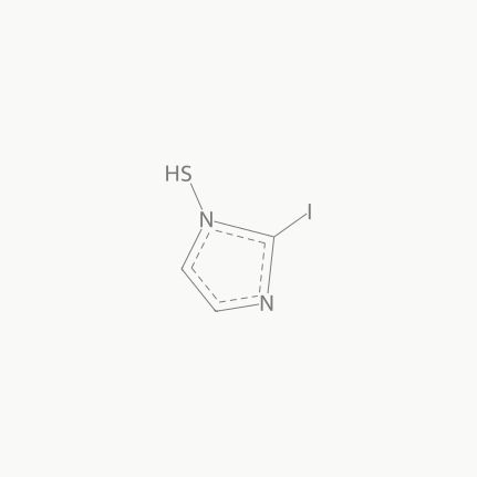 Sn1ccnc1I